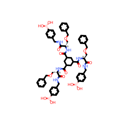 O=C(N[C@@H](COCc1ccccc1)C(=O)NCc1ccc(B(O)O)cc1)C1CC(C(=O)N[C@@H](COCc2ccccc2)C(=O)NCc2ccc(B(O)O)cc2)CC(C(=O)N[C@@H](COCc2ccccc2)C(=O)NCc2ccc(B(O)O)cc2)C1